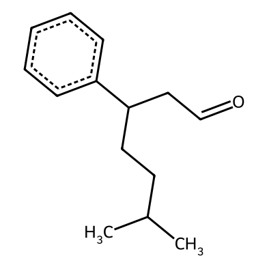 CC(C)CCC(CC=O)c1ccccc1